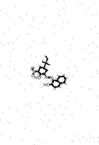 CCC(C)(C)c1cc(N=Nc2c(O)ccc3ccccc23)c(O)c([N+](=O)[O-])c1